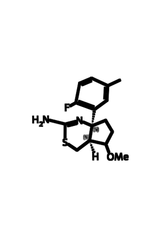 COC1CC[C@]2(c3cc(C)ccc3F)N=C(N)SC[C@H]12